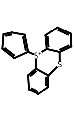 c1ccc([S+]2c3ccccc3Sc3ccccc32)cc1